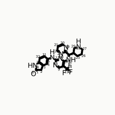 O=C1Cc2cc(Nc3ncc(C(F)(F)F)c(NC(c4ncccn4)C4CCCNC4)n3)ccc2N1